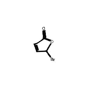 O=C1[C]=CC(Br)O1